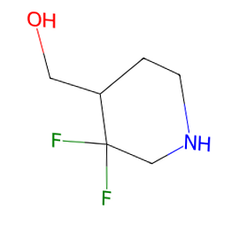 OCC1CCNCC1(F)F